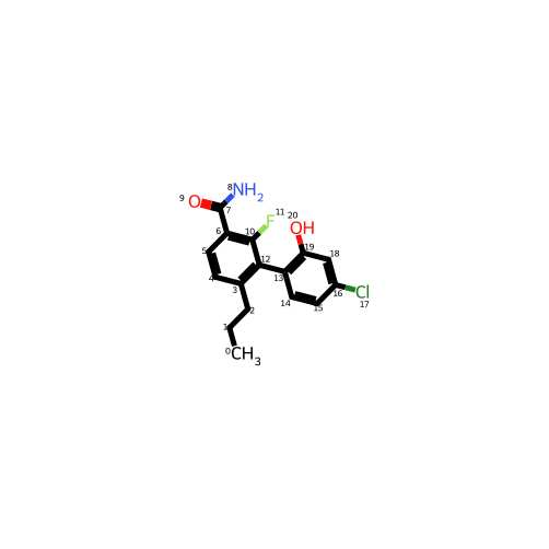 CCCc1ccc(C(N)=O)c(F)c1-c1ccc(Cl)cc1O